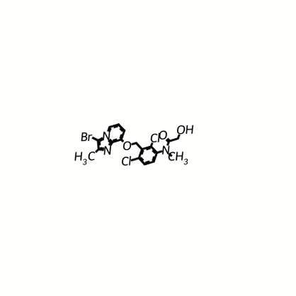 Cc1nc2c(OCc3c(Cl)ccc(N(C)C(=O)CO)c3Cl)cccn2c1Br